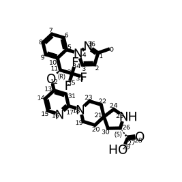 Cc1ccn(-c2ccccc2[C@@H](Oc2ccnc(N3CCC4(CC3)CN[C@H](C(=O)O)C4)c2)C(F)(F)F)n1